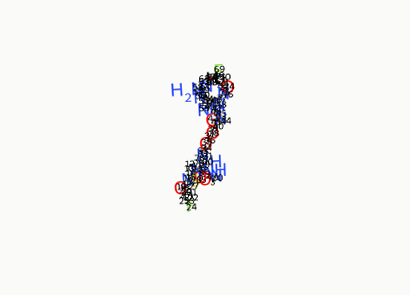 CN[C@H](C)C(=O)N[C@@H](C(=O)N1CCC[C@@H]1C1=NC(C(=O)c2ccc(F)cc2)CS1)C1CCN(CCOCCOCCC(=O)N(C)CCn2nc3c(c2C#N)-c2cnc(N)c(c2)N2CCC[C@@H]2c2cc(F)ccc2C(=O)N(C)C3)CC1